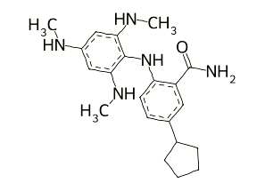 CNc1cc(NC)c(Nc2ccc(C3CCCC3)cc2C(N)=O)c(NC)c1